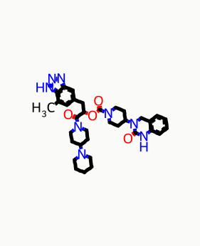 Cc1cc(CC(OC(=O)N2CCC(N3Cc4ccccc4NC3=O)CC2)C(=O)N2CCC(N3CCCCC3)CC2)cc2nn[nH]c12